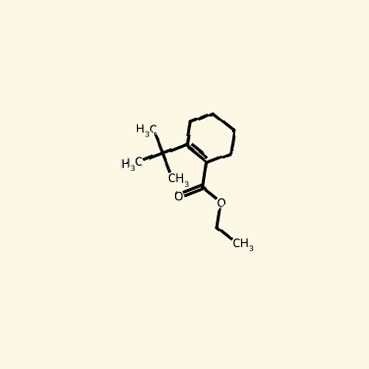 CCOC(=O)C1=C(C(C)(C)C)CCCC1